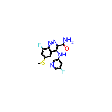 CSc1cc(F)c2nnc(C(N)=O)c(Nc3cncc(F)c3)c2c1